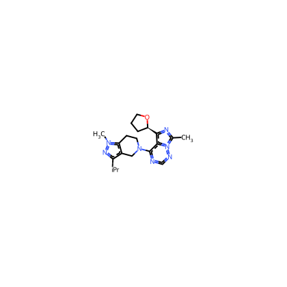 Cc1nc([C@H]2CCCO2)c2c(N3CCc4c(c(C(C)C)nn4C)C3)ncnn12